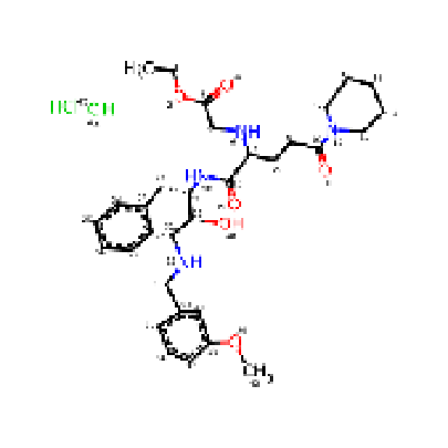 CCOC(=O)CN[C@@H](CCC(=O)N1CCCCC1)C(=O)N[C@@H](Cc1ccccc1)[C@@H](O)CNCc1cccc(OC)c1.Cl.Cl